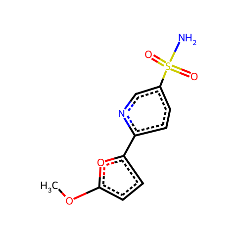 COc1ccc(-c2ccc(S(N)(=O)=O)cn2)o1